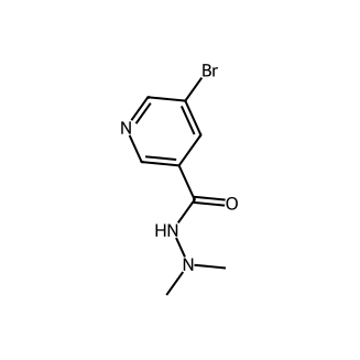 CN(C)NC(=O)c1cncc(Br)c1